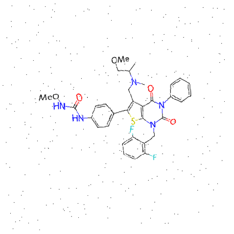 COCC(C)N(C)Cc1c(-c2ccc(NC(=O)NOC)cc2)sc2c1c(=O)n(-c1ccccc1)c(=O)n2Cc1c(F)cccc1F